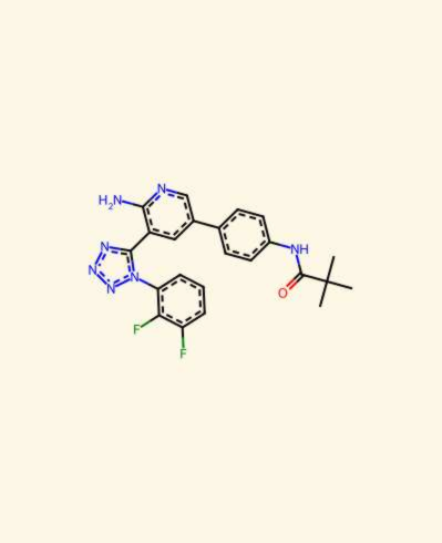 CC(C)(C)C(=O)Nc1ccc(-c2cnc(N)c(-c3nnnn3-c3cccc(F)c3F)c2)cc1